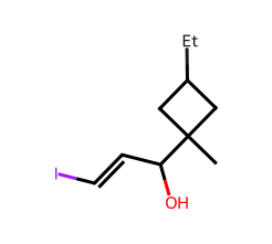 CCC1CC(C)(C(O)/C=C/I)C1